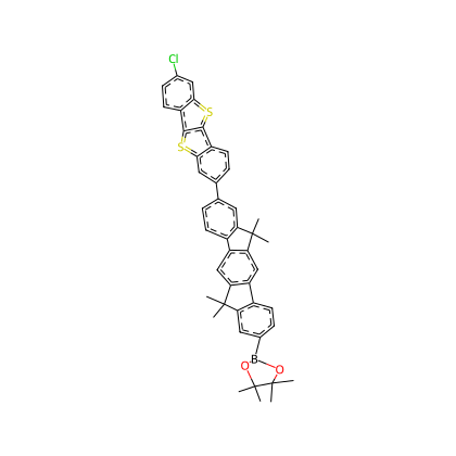 CC1(C)c2cc(B3OC(C)(C)C(C)(C)O3)ccc2-c2cc3c(cc21)-c1ccc(-c2ccc4c(c2)sc2c5ccc(Cl)cc5sc42)cc1C3(C)C